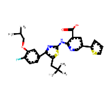 CC(C)COc1cc(-c2nc(Nc3ncc(-c4cccs4)cc3C(=O)O)sc2CC(C)(C)C)ccc1F